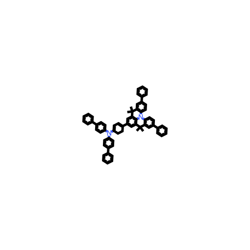 CC1(C)c2cc(-c3ccccc3)ccc2N2c3ccc(-c4ccccc4)cc3C(C)(C)c3cc(C4=CC=C(N(c5ccc(-c6ccccc6)cc5)c5ccc(-c6ccccc6)cc5)CC4)cc1c32